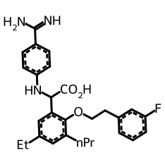 CCCc1cc(CC)cc(C(Nc2ccc(C(=N)N)cc2)C(=O)O)c1OCCc1cccc(F)c1